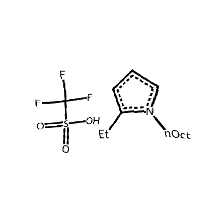 CCCCCCCCn1cccc1CC.O=S(=O)(O)C(F)(F)F